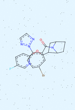 O=C(c1cc(Br)ccc1-n1nccn1)N1C2CCC1C(COc1ccc(F)cn1)C2